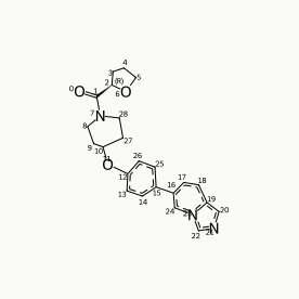 O=C([C@H]1CCCO1)N1CCC(Oc2ccc(-c3ccc4cncn4c3)cc2)CC1